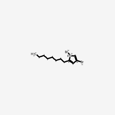 CCCCCCCCC1=CC(Br)=C[SH]1Br